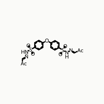 CC(=O)C=NNS(=O)(=O)c1ccc(Oc2ccc(S(=O)(=O)NN=CC(C)=O)cc2)cc1